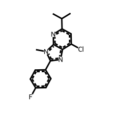 CC(C)c1cc(Cl)c2nc(-c3ccc(F)cc3)n(C)c2n1